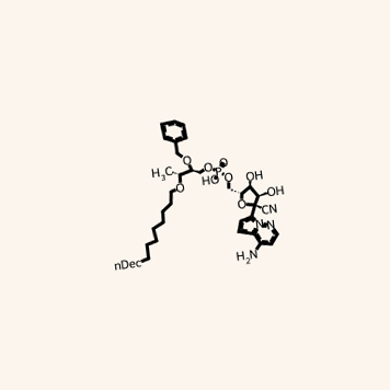 CCCCCCCCCCCCCCCCCCO[C@H](C)[C@H](COP(=O)(O)OC[C@H]1O[C@@](C#N)(c2ccc3c(N)ccnn23)[C@H](O)[C@@H]1O)OCc1ccccc1